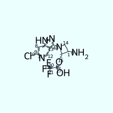 NC1CN(c2n[nH]c3cc(Cl)ncc23)C1.O=C(O)C(F)(F)F